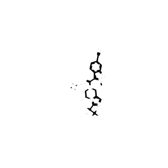 C[C@H]1CN(C(=O)c2c3ccc(C#N)cc3nn2C)Cc2cnc([C@@](C)(O)C(F)(F)F)n21.O=S(=O)(O)O